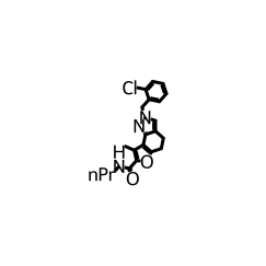 CCCNC(=O)c1oc2c(c1C)-c1nn(Cc3ccccc3Cl)cc1CC2